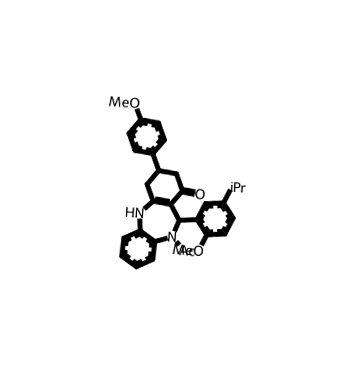 COc1ccc(C2CC(=O)C3=C(C2)Nc2ccccc2N(C(C)=O)C3c2cc(C(C)C)ccc2OC)cc1